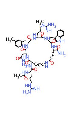 CC(=O)N[C@@H](CCCNC(=N)N)C(=O)N[C@H]1CCCNC(=O)CCC(C(N)=O)NC(=O)[C@H](Cc2c[nH]c3ccccc23)NC(=O)[C@H](CCCN(C)C(=N)N)NC(=O)[C@@H](Cc2cccc(C)c2)NC(=O)[C@H](CC(N)=O)NC1=O